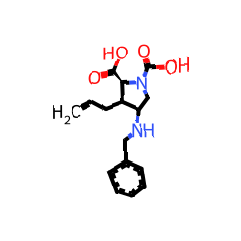 C=CCC1C(NCc2ccccc2)CN(C(=O)O)[C@@H]1C(=O)O